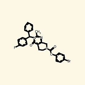 Cc1nc2c(c(=O)n1C(c1ccccc1)c1ccc(F)cc1)CCN(C(=O)Oc1ccc(Br)cc1)C2